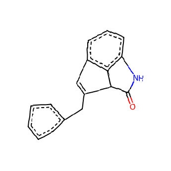 O=C1Nc2cccc3c2C1C(Cc1ccccc1)=C3